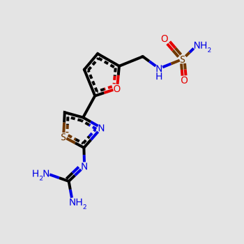 NC(N)=Nc1nc(-c2ccc(CNS(N)(=O)=O)o2)cs1